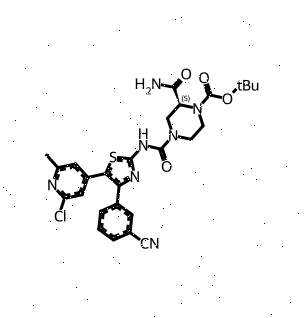 Cc1cc(-c2sc(NC(=O)N3CCN(C(=O)OC(C)(C)C)[C@H](C(N)=O)C3)nc2-c2cccc(C#N)c2)cc(Cl)n1